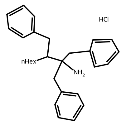 CCCCCCC(Cc1ccccc1)C(N)(Cc1ccccc1)Cc1ccccc1.Cl